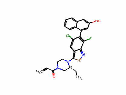 C=CC(=O)N1CCN(c2snc3c(F)c(-c4cc(O)cc5ccccc45)c(Cl)cc23)[C@H](CC)C1